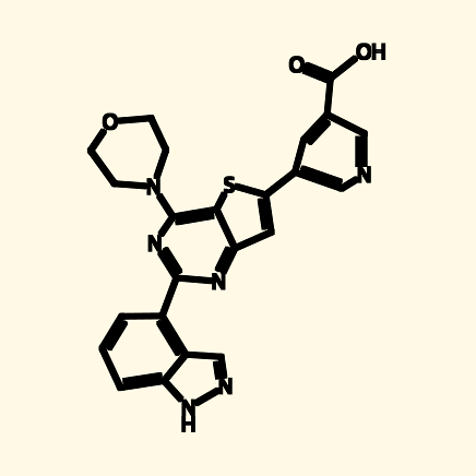 O=C(O)c1cncc(-c2cc3nc(-c4cccc5[nH]ncc45)nc(N4CCOCC4)c3s2)c1